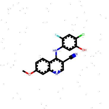 COc1ccc2c(Nc3cc(O)c(Cl)cc3F)c(C#N)cnc2c1